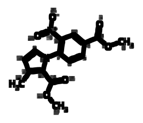 COC(=O)c1ccc(-n2ccc(C)c2C(=O)OC)c([N+](=O)[O-])c1